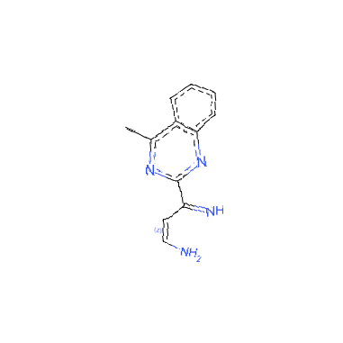 Cc1nc(C(=N)/C=C\N)nc2ccccc12